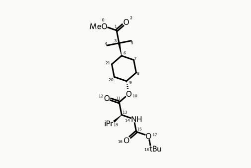 COC(=O)C(C)(C)[C@H]1CC[C@H](OC(=O)[C@@H](NC(=O)OC(C)(C)C)C(C)C)CC1